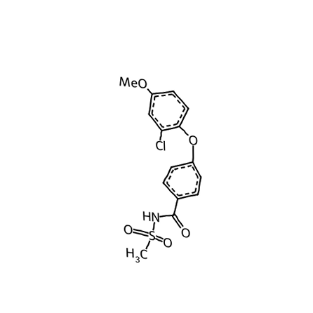 COc1ccc(Oc2ccc(C(=O)NS(C)(=O)=O)cc2)c(Cl)c1